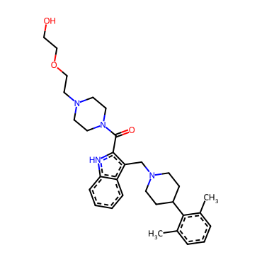 Cc1cccc(C)c1C1CCN(Cc2c(C(=O)N3CCN(CCOCCO)CC3)[nH]c3ccccc23)CC1